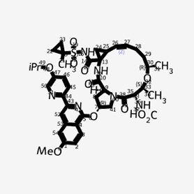 COc1ccc2c(O[C@@H]3C[C@H]4C(=O)NC5(C(=O)NS(=O)(=O)C6(C)CC6)CC5/C=C\CC[C@@H](C)O[C@@H](C)[C@H](NC(=O)O)C(=O)N4C3)nc(-c3ccc(OC(C)C)cn3)cc2c1